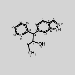 CCC(O)C(c1ccc2cn[nH]c2c1)c1ccccn1